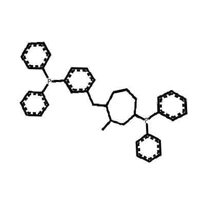 CC1CC(P(c2ccccc2)c2ccccc2)CCCC1Cc1cccc(P(c2ccccc2)c2ccccc2)c1